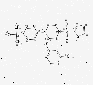 Cc1cccc(C[C@@H]2CN(S(=O)(=O)c3cccs3)CCN2c2ccc(C(O)(C(F)(F)F)C(F)(F)F)cc2)c1